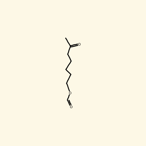 CC(=O)CCCCCOC=O